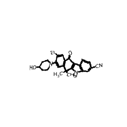 CCc1cc2c(cc1N1CCC(O)CC1)C(C)(C)c1[nH]c3cc(C#N)ccc3c1C2=O